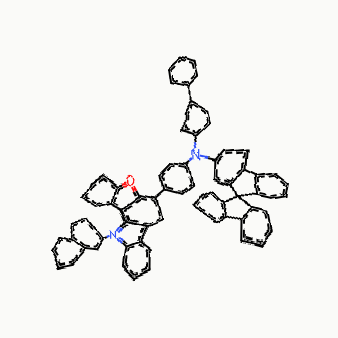 c1ccc(-c2ccc(N(c3ccc(-c4cc5c6ccccc6n(-c6ccc7ccccc7c6)c5c5c4oc4ccccc45)cc3)c3ccc4c(c3)C3(c5ccccc5-c5ccccc53)c3ccccc3-4)cc2)cc1